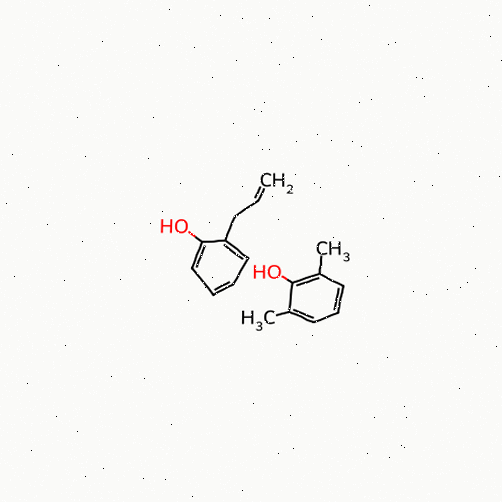 C=CCc1ccccc1O.Cc1cccc(C)c1O